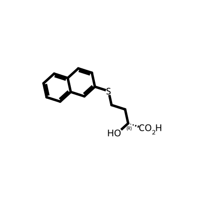 O=C(O)[C@H](O)CCSc1ccc2ccccc2c1